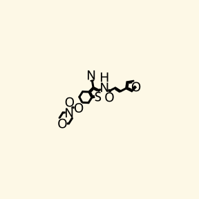 N#Cc1c(NC(=O)C=Cc2ccoc2)sc2c1CCC(OC(=O)N1CCOCC1)C2